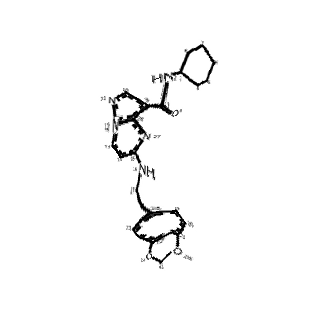 O=C(NC1CCCCC1)c1cnn2ccc(NCc3ccc4c(c3)OCO4)nc12